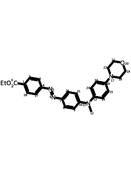 CCOC(=O)c1ccc(/N=N/c2ccc(N(C)c3ccc(N4CCOCC4)cc3)cc2)cc1